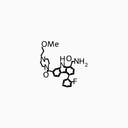 COCCCN1CCN(C(=O)c2ccc3c(c2)[nH]c2c(C(N)=O)ccc(-c4ccccc4F)c23)CC1